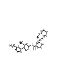 Cc1cc(-c2ncc(CNc3nccc(-c4cc5cccnc5cn4)n3)cc2C#N)ccn1